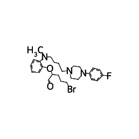 CN(CCCCN1CCN(c2ccc(F)cc2)CC1)c1ccccc1OC(C=O)CCCBr